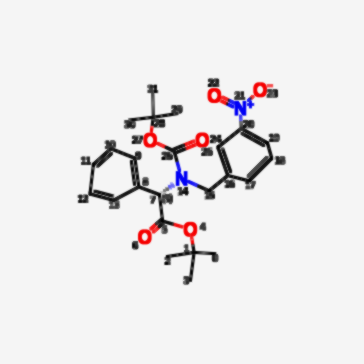 CC(C)(C)OC(=O)[C@H](c1ccccc1)N(Cc1cccc([N+](=O)[O-])c1)C(=O)OC(C)(C)C